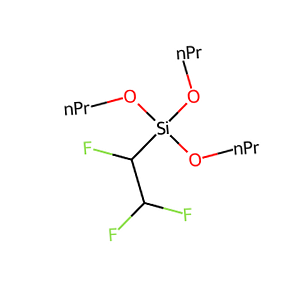 CCCO[Si](OCCC)(OCCC)C(F)C(F)F